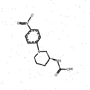 O=C(O)N[C@H]1CCCN(c2ccc([N+](=O)[O-])cc2)C1